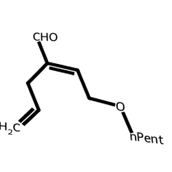 C=CCC(C=O)=CCOCCCCC